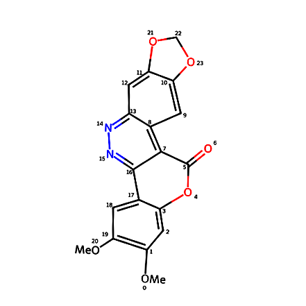 COc1cc2oc(=O)c3c4cc5c(cc4nnc3c2cc1OC)OCO5